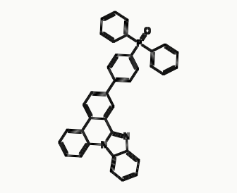 O=P(c1ccccc1)(c1ccccc1)c1ccc(-c2ccc3c4ccccc4n4c5ccccc5nc4c3c2)cc1